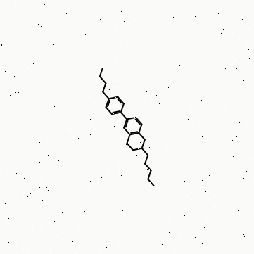 CCCCCC1CCc2cc(-c3ccc(CCCC)cc3)ccc2C1